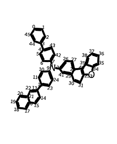 c1ccc(-c2ccc(N(c3ccc(-c4ccc5ccccc5c4)cc3)c3ccc4c(ccc5oc6ccccc6c54)c3)cc2)cc1